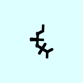 CCOP(C)(=O)OC(C)(C)C(C)C